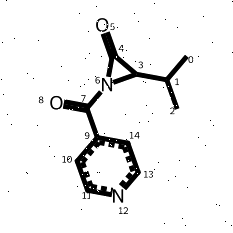 CC(C)C1C(=O)N1C(=O)c1ccncc1